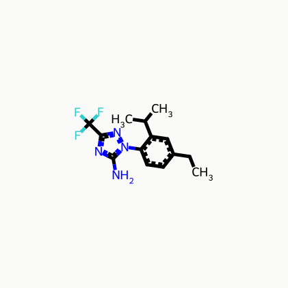 CCc1ccc(-n2nc(C(F)(F)F)nc2N)c(C(C)C)c1